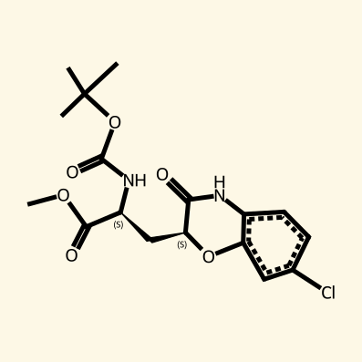 COC(=O)[C@H](C[C@@H]1Oc2cc(Cl)ccc2NC1=O)NC(=O)OC(C)(C)C